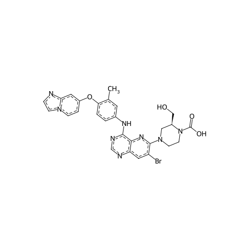 Cc1cc(Nc2ncnc3cc(Br)c(N4CCN(C(=O)O)[C@H](CO)C4)nc23)ccc1Oc1ccn2ccnc2c1